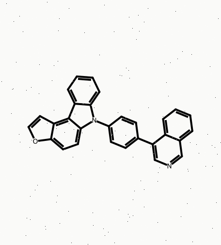 c1ccc2c(-c3ccc(-n4c5ccccc5c5c6ccoc6ccc54)cc3)cncc2c1